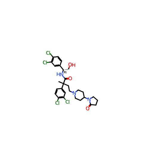 CC(CCN1CCC(N2CCCC2=O)CC1)(C(=O)N[C@@H](CO)c1ccc(Cl)c(Cl)c1)c1ccc(Cl)c(Cl)c1